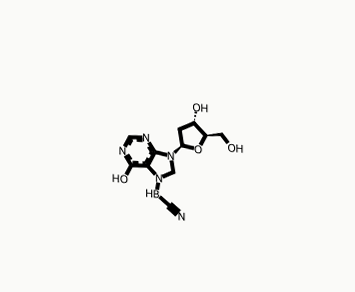 N#CBN1CN([C@H]2C[C@H](O)[C@@H](CO)O2)c2ncnc(O)c21